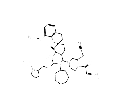 C=CC(=O)N1CCN(C2C3CC[C@@]4(CCc5cccc(OC)c5S4)C(=O)C3NC(OCC3CCCN3C)N2C2CCCCCC2)CC1CC#N